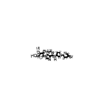 OC[C@H]1O[C@@H](n2cnc3c(N[C@H]4CCN(c5ccc(Br)cn5)C4)ncnc32)[C@H](O)[C@@H]1O